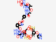 CC(NC(=O)C(NC(=O)CNC(=O)O)C(C)C)C(=O)Nc1ccc(COC(=O)N(C)Cc2ccccc2C(=O)Nc2nc3c(ncn3[C@@H]3OC4CO[P@@](=O)(S)O[C@H]5C[C@H](Oc6ccncn6)C[C@@H]5CO[P@@](=O)(S)O[C@@H]3[C@@H]4O)c(=O)[nH]2)cc1